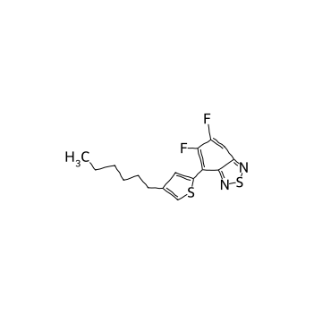 CCCCCCc1csc(-c2c(F)c(F)cc3nsnc23)c1